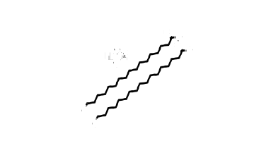 CCCCCCCCCCCCCCCCCC(=O)[O-].CCCCCCCCCCCCCCCCCC(=O)[O-].O.O.[Mg+2]